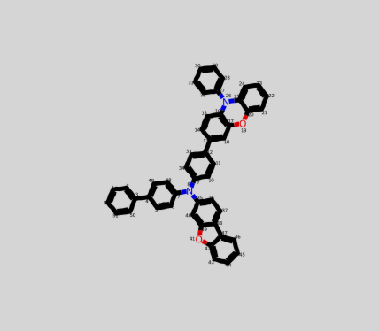 c1ccc(-c2ccc(N(c3ccc(-c4ccc5c(c4)Oc4ccccc4N5c4ccccc4)cc3)c3ccc4c(c3)oc3ccccc34)cc2)cc1